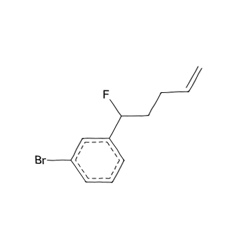 C=CCCC(F)c1cccc(Br)c1